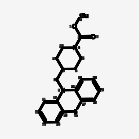 CC(C)(C)OC(=O)N1CCC(CN2c3ccccc3Sc3ccccc32)CC1